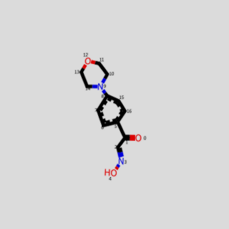 O=C(/C=N/O)c1ccc(N2CCOCC2)cc1